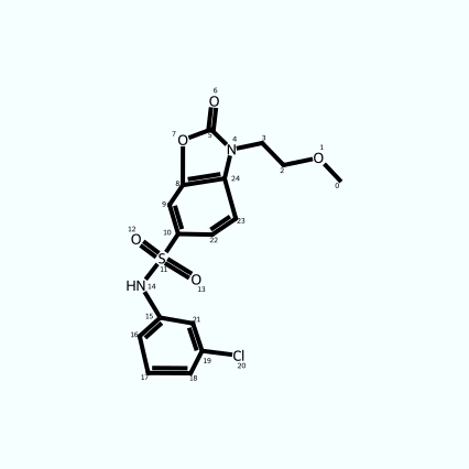 COCCn1c(=O)oc2cc(S(=O)(=O)Nc3cccc(Cl)c3)ccc21